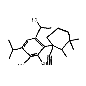 C#CC1(c2c(C(C)O)cc(C(C)C)c(O)c2O)CCCC(C)(C)C1C